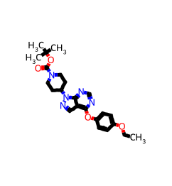 CCOc1ccc(Oc2ncnc3c2cnn3C2CCN(C(=O)OC(C)(C)C)CC2)cc1